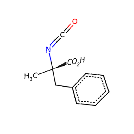 C[C@@](Cc1ccccc1)(N=C=O)C(=O)O